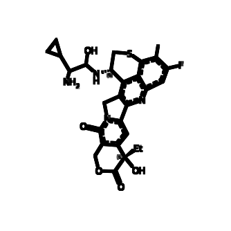 CC[C@@]1(O)C(=O)OCc2c1cc1n(c2=O)Cc2c-1nc1cc(F)c(C)c3c1c2[C@H](NC(O)C(N)C1CC1)CS3